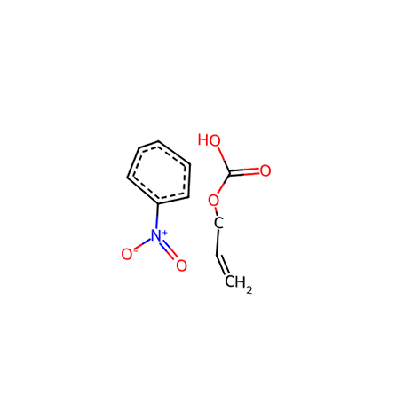 C=CCOC(=O)O.O=[N+]([O-])c1ccccc1